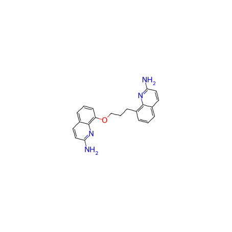 Nc1ccc2cccc(CCCOc3cccc4ccc(N)nc34)c2n1